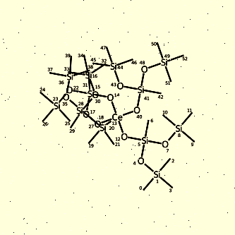 C[Si](C)(C)O[Si](C)(O[Si](C)(C)C)[O][Ce]([O][Si](C)(O[Si](C)(C)C)O[Si](C)(C)C)([O][Si](C)(O[Si](C)(C)C)O[Si](C)(C)C)[O][Si](C)(O[Si](C)(C)C)O[Si](C)(C)C